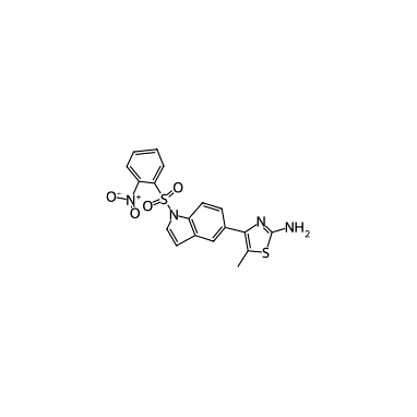 Cc1sc(N)nc1-c1ccc2c(ccn2S(=O)(=O)c2ccccc2[N+](=O)[O-])c1